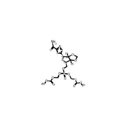 CC(C)OC(=O)OCOP(=O)(OCOC(=O)OC(C)C)OC[C@H]1O[C@@H](c2nc(C(N)=O)ns2)[C@@H]2OCO[C@@H]21